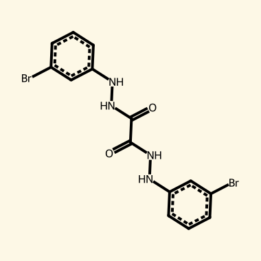 O=C(NNc1cccc(Br)c1)C(=O)NNc1cccc(Br)c1